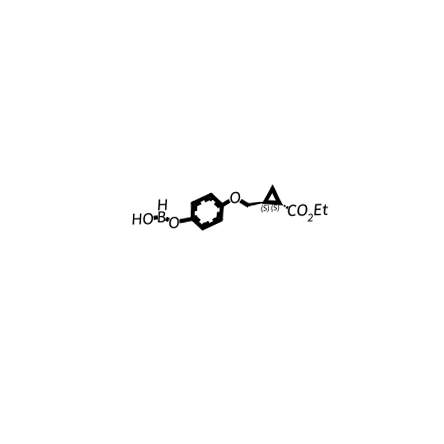 CCOC(=O)[C@H]1C[C@@H]1COc1ccc(OBO)cc1